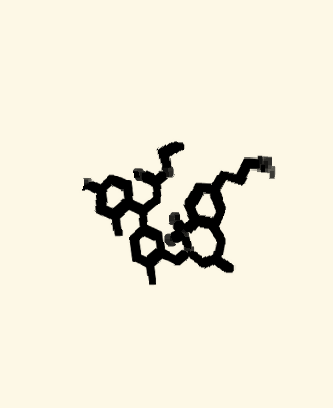 CCOC(=O)CC(c1ccc(C)c(CN2CC(C)Cc3cc(CCCN)ccc3S2(=O)=O)c1)c1ccc(F)cc1C